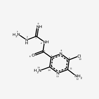 N=C(NN)NC(=O)c1nc(Cl)c(N)nc1N